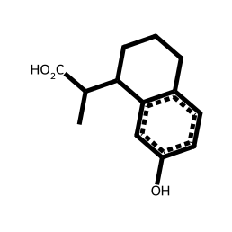 CC(C(=O)O)C1CCCc2ccc(O)cc21